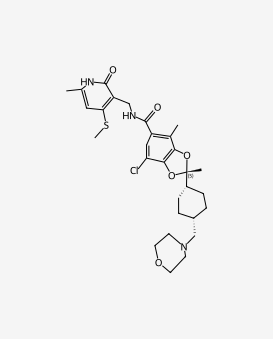 CSc1cc(C)[nH]c(=O)c1CNC(=O)c1cc(Cl)c2c(c1C)O[C@](C)([C@H]1CC[C@@H](CN3CCOCC3)CC1)O2